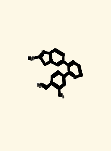 C=Cc1ccc(-c2ncccc2-c2ccc3c(c2)CC(C)=N3)cc1C(F)(F)F